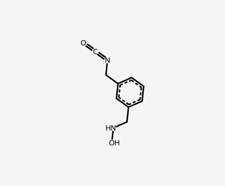 O=C=NCc1cccc(CNO)c1